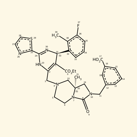 CCOC(=O)C1=C(CN2CCN3C(=O)N(Cc4cccc(C(=O)O)c4)C[C@]3(C)C2)NC(c2nccs2)=N[C@H]1c1cccc(F)c1C